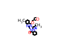 Cc1ccc2c(OCC3CCOC3)nc(Cn3c(=O)c4ccccc4n4nc(C)cc34)nc2c1